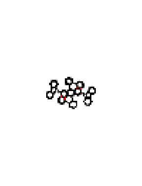 C1=CC(c2ccccc2)=C(c2c3cc(-n4c5c(c6ccccc64)C=CCC5)ccc3c(-c3ccccc3-c3ccccc3)c3cc(-n4c5ccccc5c5ccccc54)ccc23)CC1